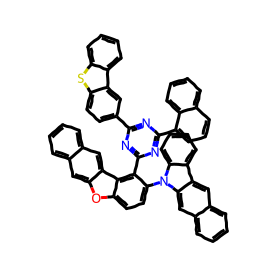 c1ccc2cc3c(cc2c1)oc1ccc(-n2c4ccccc4c4cc5ccccc5cc42)c(-c2nc(-c4ccc5sc6ccccc6c5c4)nc(-c4cccc5ccccc45)n2)c13